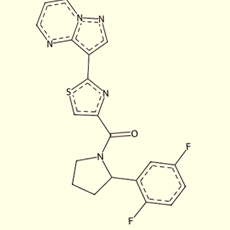 O=C(c1csc(-c2cnn3cccnc23)n1)N1CCCC1c1cc(F)ccc1F